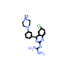 CCN1CCN(c2cccc(-c3nc(N=C(N)N)nc4ccc(Cl)cc34)c2)CC1